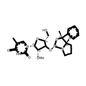 CO[C@H]1C(O[P@@]2O[C@](C)(c3ccccc3)[C@@H]3CCCN32)[C@@H](CO)O[C@H]1n1cc(C)c(=O)[nH]c1=O